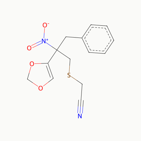 N#CCSCC(Cc1ccccc1)(C1=COCO1)[N+](=O)[O-]